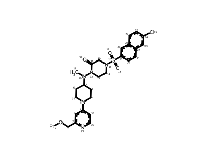 CCOCc1cc(N2CCC(N(C)N3CCN(S(=O)(=O)c4ccc5cc(Cl)ccc5c4)CC3=O)CC2)ccn1